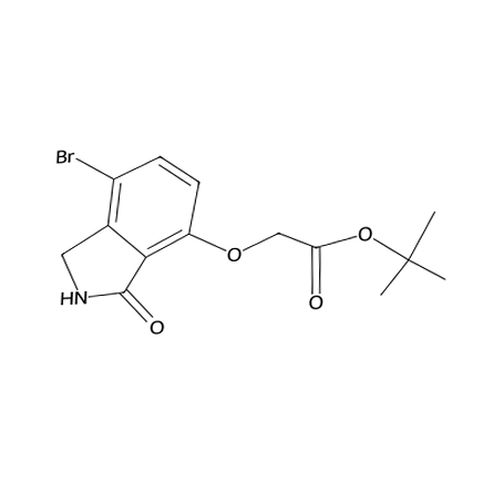 CC(C)(C)OC(=O)COc1ccc(Br)c2c1C(=O)NC2